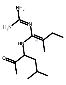 CC/C(C)=C(\N=C(N)N)NC(CC(C)C)C(C)=O